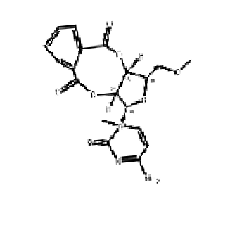 C[N+]1([C@@H]2O[C@H](COI)[C@H]3OC(=O)c4ccccc4C(=O)O[C@H]32)C=CC(N)=NC1=O